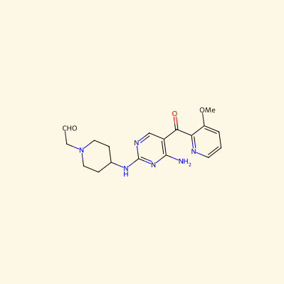 COc1cccnc1C(=O)c1cnc(NC2CCN(CC=O)CC2)nc1N